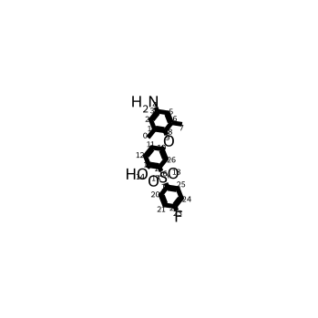 Cc1cc(N)cc(C)c1Oc1ccc(O)c(S(=O)(=O)c2ccc(F)cc2)c1